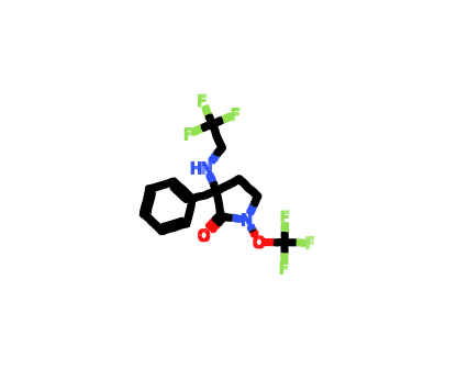 O=C1N(OC(F)(F)F)CCC1(NCC(F)(F)F)c1ccccc1